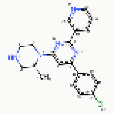 C[C@@H]1CNCCN1c1cc(-c2ccc(Cl)cc2)nc(-c2cccnc2)n1